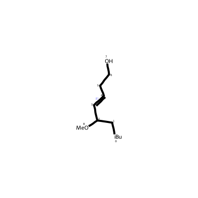 CCC(C)CC(/C=C/CCO)OC